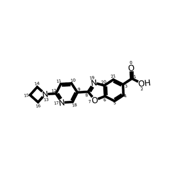 O=C(O)c1ccc2oc(-c3ccc(N4CCC4)nc3)nc2c1